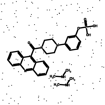 CNC.CNC.O=C(c1c2ccccc2nc2ccccc12)N1CCN(c2cccc(OP(=O)(O)O)c2)CC1